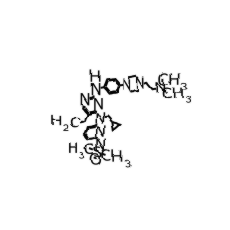 C=Cc1cnc(Nc2ccc(N3CCN(CCN(C)C)CC3)cc2)nc1N(CC1CC1)c1cccc(N=S(C)(C)=O)n1